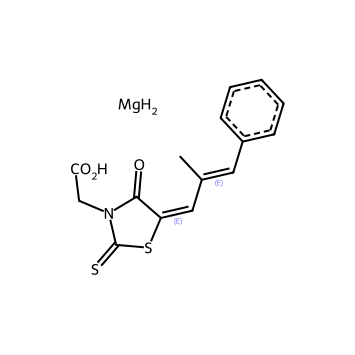 CC(=C\c1ccccc1)/C=C1/SC(=S)N(CC(=O)O)C1=O.[MgH2]